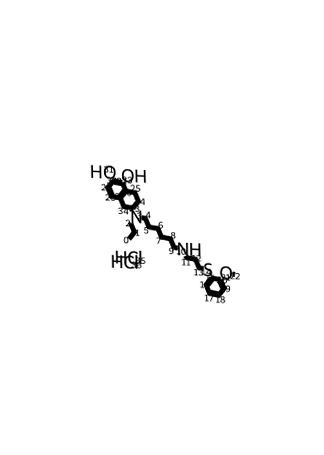 CCCN(CCCCCCNCCCSc1ccccc1OC)C1CCc2c(ccc(O)c2O)C1.Cl.Cl